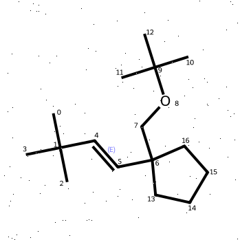 CC(C)(C)/C=C/C1(COC(C)(C)C)CCCC1